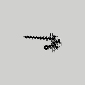 CCCCCCCCCCCCCCCCCCNC(=O)C(NC(=O)C(NC(=O)C(NC(=O)OCc1ccccc1)C(C)C)C(C)C)C(C)C